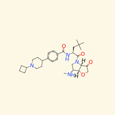 CN[C@H]1CN(C(=O)[C@H](CC(C)(C)C)NC(=O)c2ccc(C3CCN(C4CCC4)CC3)cc2)[C@@H]2C(=O)CO[C@H]12